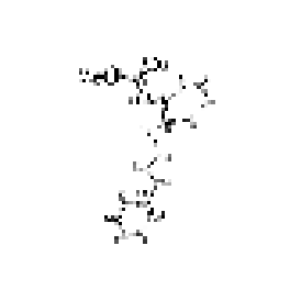 COC(=O)Oc1ccccc1CCCCc1ccccc1